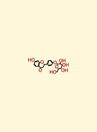 O=C1CC(c2ccc(OC3OC(CO)C(O)C(O)C3O)cc2)Oc2cc(O)ccc21